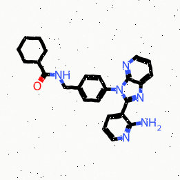 Nc1ncccc1-c1nc2cccnc2n1-c1ccc(CNC(=O)C2CCCCC2)cc1